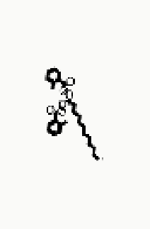 [CH2]CCCCCCCCCC[C](OOC(=O)c1ccccc1C)OOC(=O)c1ccccc1C